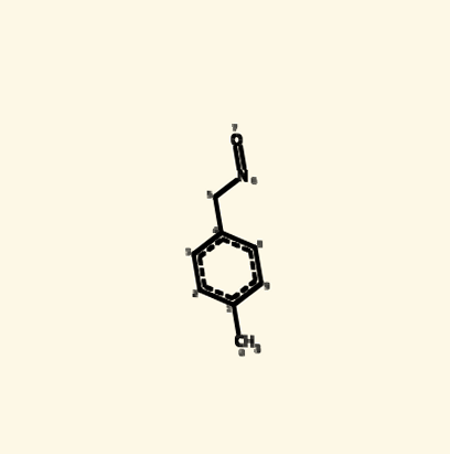 Cc1ccc(CN=O)cc1